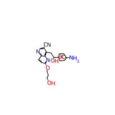 N#Cc1cnc2ccc(OCCCO)nc2c1CC(O)C12CCC(N)(CC1)CO2